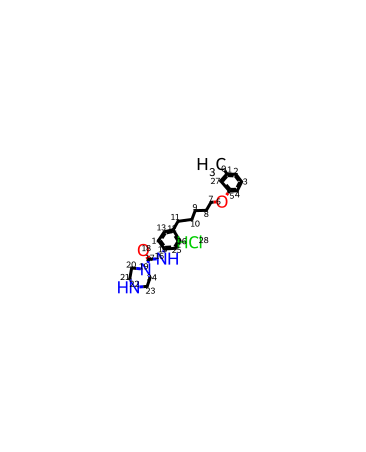 Cc1cccc(OCCCCCc2ccc(NC(=O)N3CCNCC3)cc2)c1.Cl